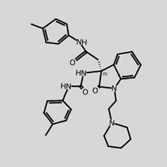 Cc1ccc(NC(=O)C[C@@]2(NC(=O)Nc3ccc(C)cc3)C(=O)N(CCN3CCCCC3)c3ccccc32)cc1